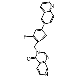 O=c1c2ccncc2ncn1Cc1ccc(-c2ccc3ncccc3c2)cc1F